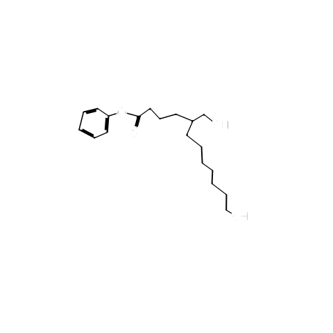 CCCCCCCCC(CC)CCCC(=S)Oc1ccccc1